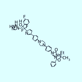 CC[C@@H]([C@H](C)OCc1ccccc1)n1ncn(-c2ccc(N3CCN(c4ccc(-c5ccc(C(F)(F)C(O)(CN6C=NNN6)c6cccc(F)c6)nc5)cc4)CC3)cc2)c1=O